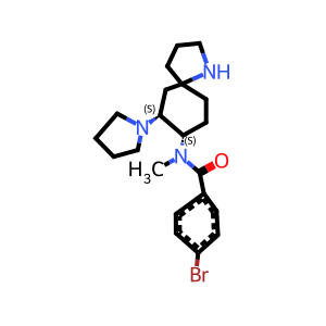 CN(C(=O)c1ccc(Br)cc1)[C@H]1CCC2(CCCN2)C[C@@H]1N1CCCC1